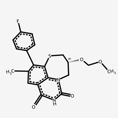 COCO[C@H]1CSc2c(-c3ccc(F)cc3)c(C)cc3c(=O)[nH]c(=O)n(c23)C1